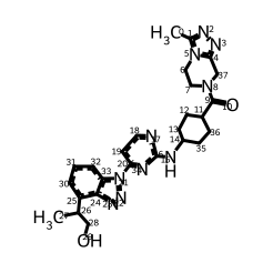 Cc1nnc2n1CCN(C(=O)C1CCC(Nc3nccc(-n4nnc5c(C(C)CO)cccc54)n3)CC1)C2